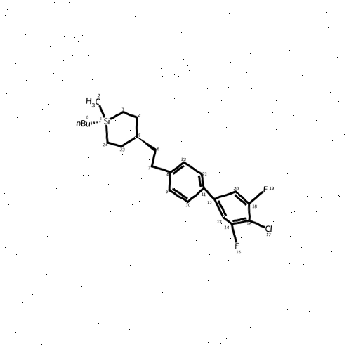 CCCC[Si@]1(C)CC[C@@H](CCc2ccc(-c3cc(F)c(Cl)c(F)c3)cc2)CC1